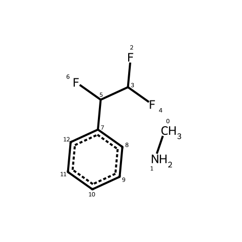 CN.FC(F)C(F)c1ccccc1